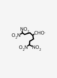 O=[C]C(CCC([N+](=O)[O-])[N+](=O)[O-])CCC([N+](=O)[O-])[N+](=O)[O-]